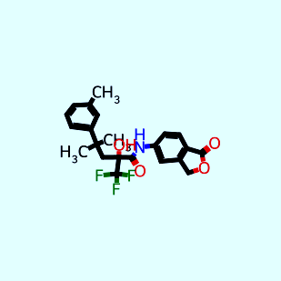 Cc1cccc(C(C)(C)CC(O)(C(=O)Nc2ccc3c(c2)COC3=O)C(F)(F)F)c1